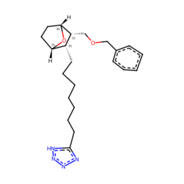 c1ccc(COC[C@@H]2[C@H](CCCCCCCc3nnn[nH]3)[C@@H]3CC[C@H]2O3)cc1